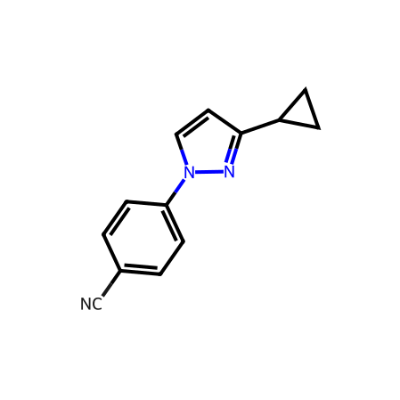 N#Cc1ccc(-n2ccc(C3CC3)n2)cc1